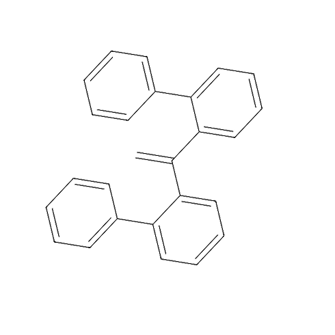 C=C(c1ccccc1-c1ccccc1)c1ccccc1-c1ccccc1